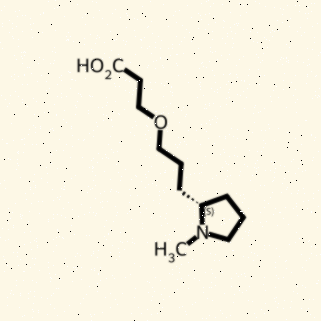 CN1CCC[C@H]1CCCOCCC(=O)O